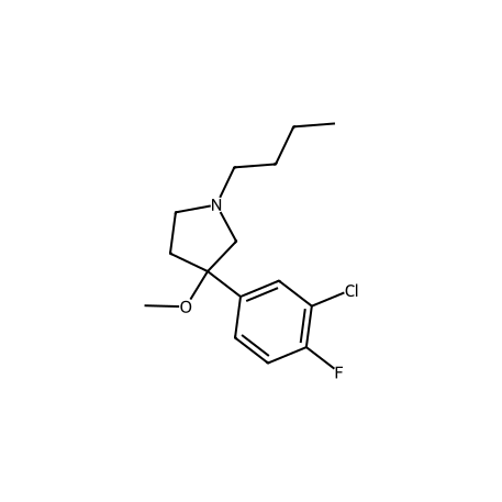 CCCCN1CCC(OC)(c2ccc(F)c(Cl)c2)C1